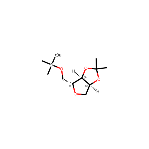 CC1(C)O[C@H]2[C@H]([CH]O[C@@H]2CO[Si](C)(C)C(C)(C)C)O1